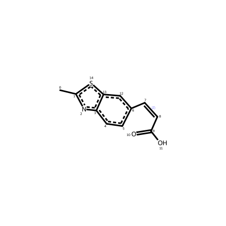 Cc1nc2ccc(/C=C\C(=O)O)cc2s1